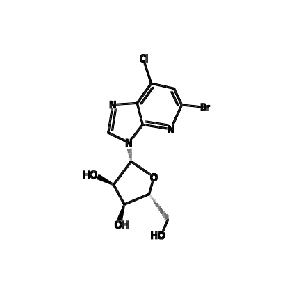 OC[C@H]1O[C@@H](n2cnc3c(Cl)cc(Br)nc32)[C@H](O)[C@@H]1O